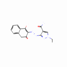 CC(C)Cn1cc(C(N)=O)c(N=NC2=C(O)c3ccccc3CC2=O)n1